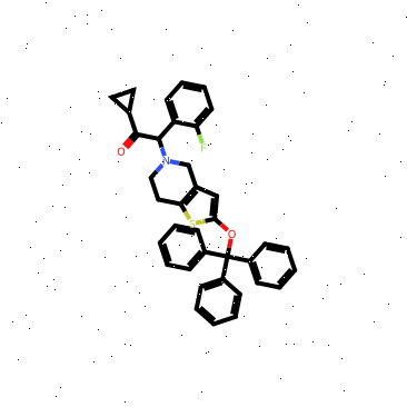 O=C(C1CC1)C(c1ccccc1F)N1CCc2sc(OC(c3ccccc3)(c3ccccc3)c3ccccc3)cc2C1